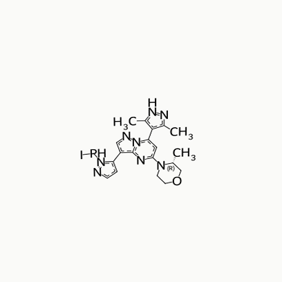 Cc1n[nH]c(C)c1-c1cc(N2CCOC[C@H]2C)nc2c(-c3ccnn3PI)cnn12